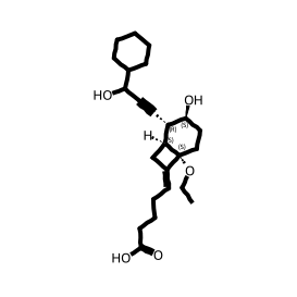 CCO[C@@]12CC[C@H](O)[C@@H](C#CC(O)C3CCCCC3)[C@@H]1CC2=CCCCC(=O)O